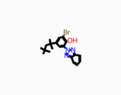 CC(C)(C)CC(C)(C)c1cc(Br)c(O)c(-n2nc3ccccc3n2)c1